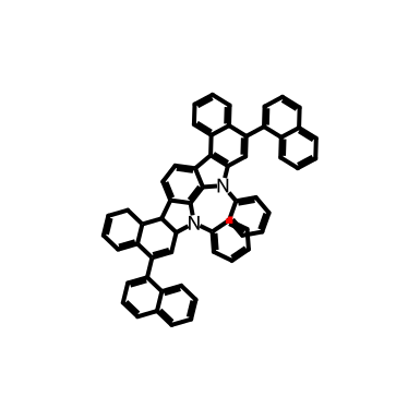 C1=CCC2C(=C1)C(c1cccc3ccccc13)=CC1C2c2ccc3c4c5ccccc5c(-c5cccc6ccccc56)cc4n(-c4ccccc4)c3c2N1c1ccccc1